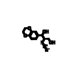 [N-]=[N+]=N[C@H](CO)C(O)c1ccc2c(c1)OCCO2